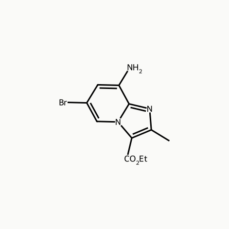 CCOC(=O)c1c(C)nc2c(N)cc(Br)cn12